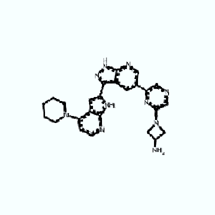 NC1CN(c2cncc(-c3cnc4[nH]nc(-c5cc6c(N7CCCCC7)ccnc6[nH]5)c4c3)n2)C1